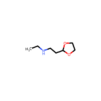 CCNCCC1OCCO1